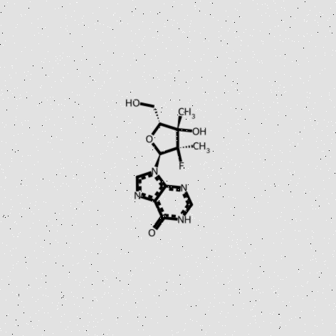 C[C@]1(O)[C@@H](CO)O[C@H](n2cnc3c(=O)[nH]cnc32)[C@]1(C)F